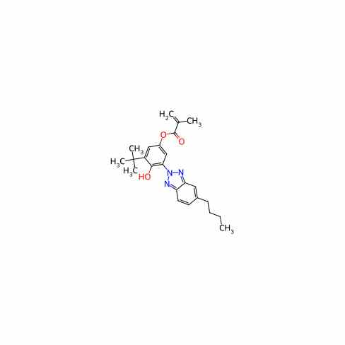 C=C(C)C(=O)Oc1cc(-n2nc3ccc(CCCC)cc3n2)c(O)c(C(C)(C)C)c1